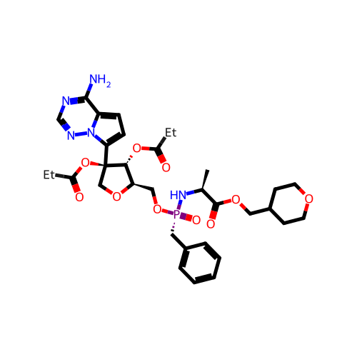 CCC(=O)O[C@@H]1[C@@H](CO[P@@](=O)(Cc2ccccc2)N[C@@H](C)C(=O)OCC2CCOCC2)OC[C@]1(OC(=O)CC)c1ccc2c(N)ncnn12